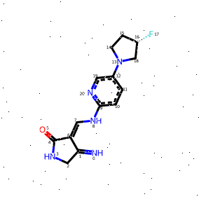 N=C1CNC(=O)/C1=C/Nc1ccc(N2CC[C@H](F)C2)cn1